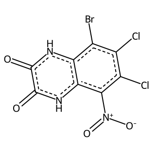 O=c1[nH]c2c(Br)c(Cl)c(Cl)c([N+](=O)[O-])c2[nH]c1=O